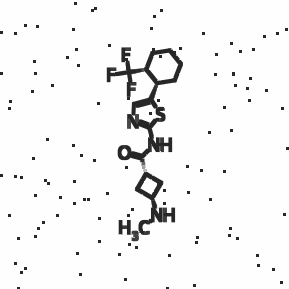 CN[C@H]1C[C@H](C(=O)Nc2ncc([C@@H]3CCCC[C@@H]3C(F)(F)F)s2)C1